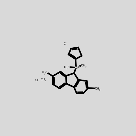 C.Cc1ccc2c(c1)[CH]([Zr+2]([CH3])([CH3])[C]1=CC=CC1)c1cc(C)ccc1-2.[Cl-].[Cl-]